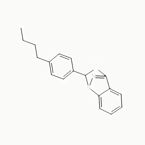 CCCCc1ccc(C2Oc3nn2c2ccccc32)cc1